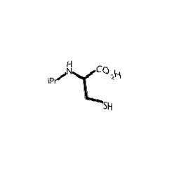 CC(C)NC(CS)C(=O)O